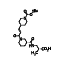 C[C@H](CNC(=O)[C@@H]1CCCN(C(=O)/C=C/C2CCN(C(=O)OC(C)(C)C)CC2)C1)C(=O)O